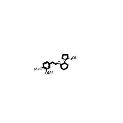 COc1ccc(CCOC2CCCCC2N2CCC[C@@H]2CO)cc1OC